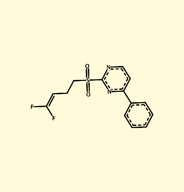 O=S(=O)(CCC=C(F)F)c1nccc(-c2ccccc2)n1